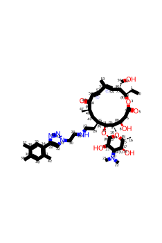 CC[C@H]1OC(=O)C[C@@H](O)[C@H](C)[C@@H](O[C@@H]2O[C@H](C)[C@@H](O)C(N(C)C)C2O)[C@@H](CCNCCn2cc(-c3cc(C)c(C)cc3C)nn2)C[C@@H](C)C(=O)/C=C/C(C)=C/[C@@H]1CO